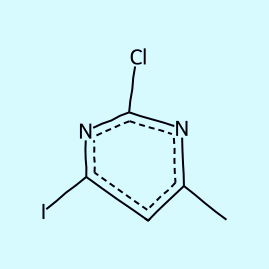 Cc1cc(I)nc(Cl)n1